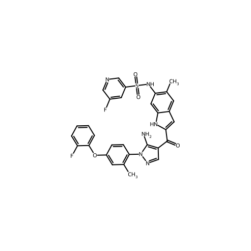 Cc1cc2cc(C(=O)c3cnn(-c4ccc(Oc5ccccc5F)cc4C)c3N)[nH]c2cc1NS(=O)(=O)c1cncc(F)c1